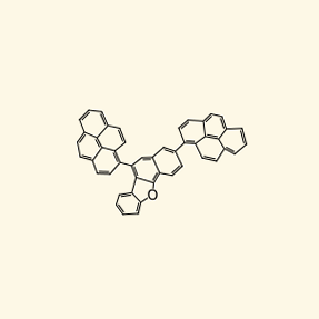 c1cc2ccc3ccc(-c4ccc5c(c4)cc(-c4ccc6ccc7cccc8ccc4c6c78)c4c6ccccc6oc54)c4ccc(c1)c2c34